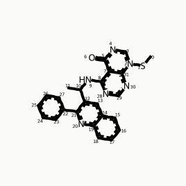 CSn1cnc(=O)c2c(NC(C)c3cc4ccccc4nc3-c3ccccc3)ncnc21